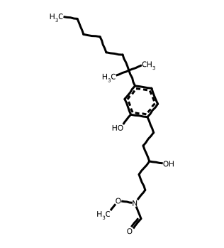 CCCCCCC(C)(C)c1ccc(CCC(O)CCN(C=O)OC)c(O)c1